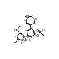 CNC1=NC(N)(c2cc3c(c(C4=CCNCCC4)c2)OC(F)(F)O3)NC(C)=C1